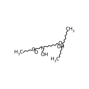 CCCCCCCCC(CCCCCCCC)OC(O)CCCCCCCN(CCO)CCCC(=O)OCCCCCC